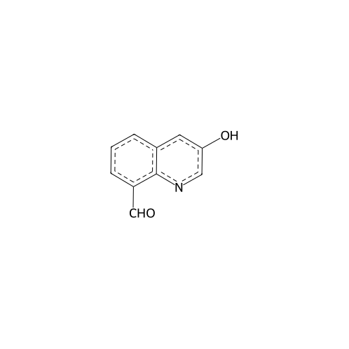 O=Cc1cccc2cc(O)cnc12